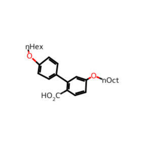 CCCCCCCCOc1ccc(C(=O)O)c(-c2ccc(OCCCCCC)cc2)c1